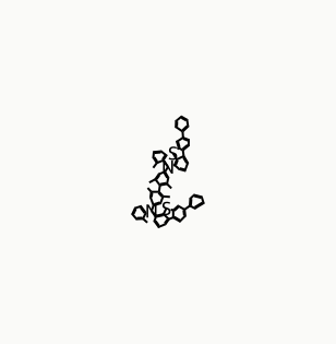 Cc1ccccc1N(c1cc(C)c(-c2c(C)cc(N(c3ccccc3C)c3cccc4c3sc3cc(-c5ccccc5)ccc34)cc2C)c(C)c1)c1cccc2c1sc1cc(-c3ccccc3)ccc12